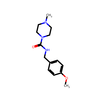 COc1ccc(CNC(=O)N2CCN(C)CC2)cc1